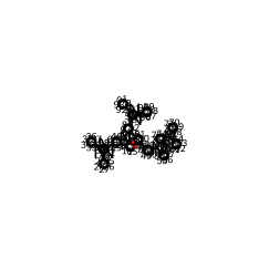 c1ccc(-c2cc(-c3ccc(-n4c5ccccc5c5cc(-c6nc(-c7ccccc7)nc(-c7ccccc7)n6)ccc54)c(-c4ccc(-c5cccc(N6c7ccccc7B7c8ccccc8N(c8ccccc8)c8cccc6c87)c5)cc4)c3)nc(-c3ccccc3)n2)cc1